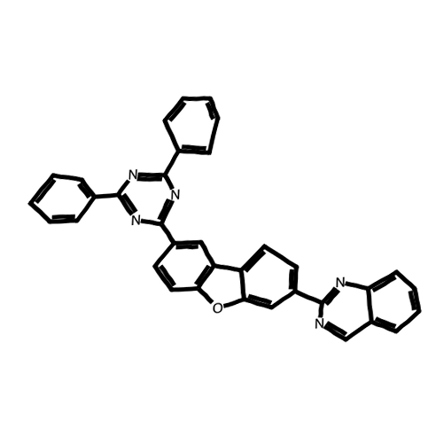 c1ccc(-c2nc(-c3ccccc3)nc(-c3ccc4oc5cc(-c6ncc7ccccc7n6)ccc5c4c3)n2)cc1